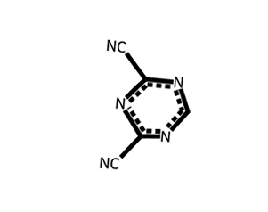 N#Cc1ncnc(C#N)n1